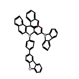 c1cc(N(c2ccc(-c3ccc4oc5ccccc5c4c3)cc2)c2ccc3ccccc3c2-c2cccc3ccccc23)cc(-n2c3ccccc3c3ccccc32)c1